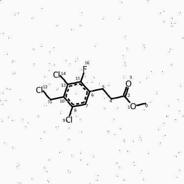 COC(=O)CCc1cc(Cl)c(CCl)c(Cl)c1F